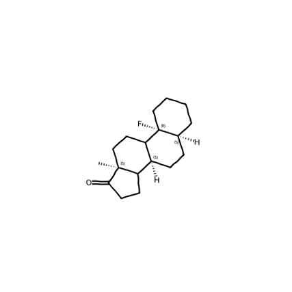 C[C@]12CCC3[C@@H](CC[C@@H]4CCCC[C@]34F)C1CCC2=O